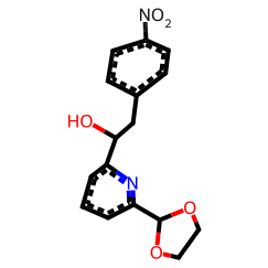 O=[N+]([O-])c1ccc(CC(O)c2cccc(C3OCCO3)n2)cc1